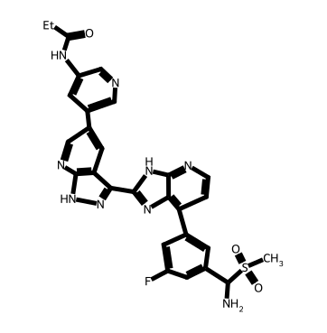 CCC(=O)Nc1cncc(-c2cnc3[nH]nc(-c4nc5c(-c6cc(F)cc(C(N)S(C)(=O)=O)c6)ccnc5[nH]4)c3c2)c1